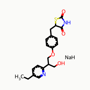 CCc1ccc(C(CO)COc2ccc(CC3SC(=O)NC3=O)cc2)nc1.[NaH]